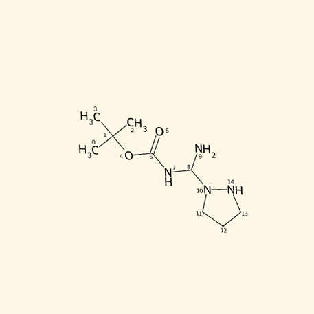 CC(C)(C)OC(=O)NC(N)N1CCCN1